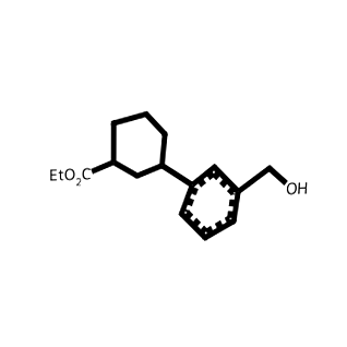 CCOC(=O)C1CCCC(c2cccc(CO)c2)C1